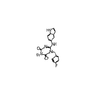 CC(C)n1c(=O)nc(Nc2ccc3[nH]ccc3c2)n(Cc2ccc(F)cc2)c1=O